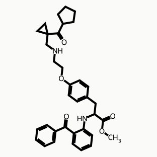 COC(=O)C(Cc1ccc(OCCNCC2(C(=O)C3CCCC3)CC2)cc1)Nc1ccccc1C(=O)c1ccccc1